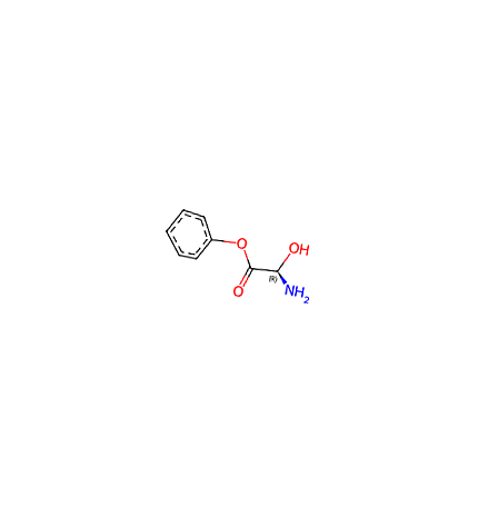 N[C@H](O)C(=O)Oc1ccccc1